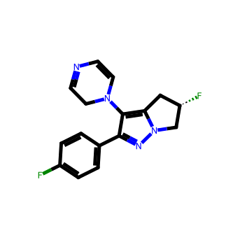 Fc1ccc(-c2nn3c(c2N2C=CN=CC2)C[C@H](F)C3)cc1